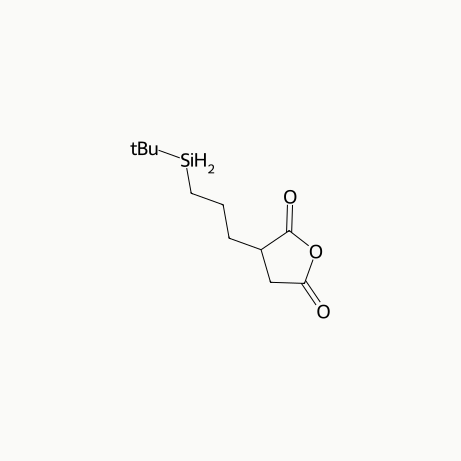 CC(C)(C)[SiH2]CCCC1CC(=O)OC1=O